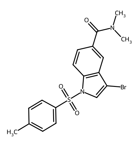 Cc1ccc(S(=O)(=O)n2cc(Br)c3cc(C(=O)N(C)C)ccc32)cc1